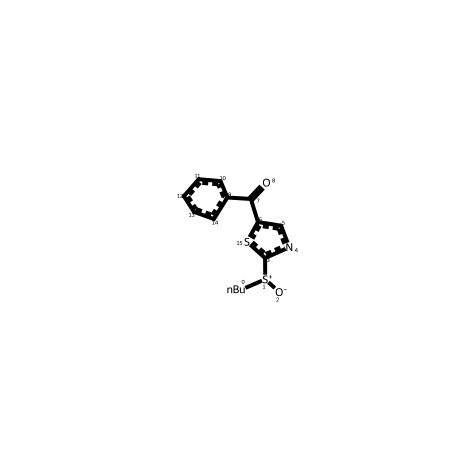 CCCC[S+]([O-])c1ncc(C(=O)c2ccccc2)s1